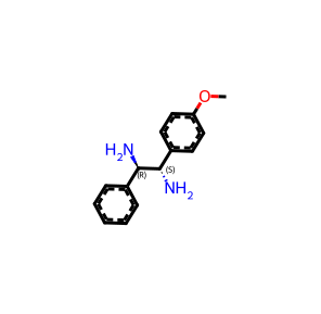 COc1ccc([C@H](N)[C@H](N)c2ccccc2)cc1